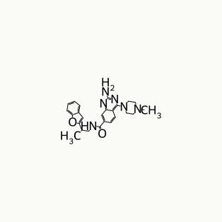 CC(CNC(=O)c1ccc2c(N3CCN(C)CC3)nc(N)nc2c1)c1cc2ccccc2o1